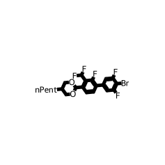 CCCCCC1COC(c2ccc(-c3cc(F)c(Br)c(F)c3)c(F)c2C(F)F)OC1